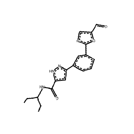 CCC(CC)NC(=O)c1cc(-c2cccc(-c3ncc(C=O)o3)c2)n[nH]1